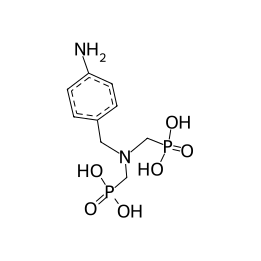 Nc1ccc(CN(CP(=O)(O)O)CP(=O)(O)O)cc1